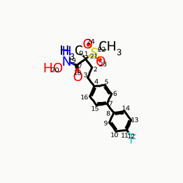 C[C@@](CCc1ccc(-c2ccc(F)cc2)cc1)(C(=O)NO)S(C)(=O)=O